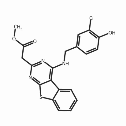 COC(=O)Cc1nc(NCc2ccc(O)c(Cl)c2)c2c(n1)sc1ccccc12